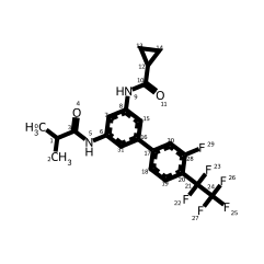 CC(C)C(=O)Nc1cc(NC(=O)C2CC2)cc(-c2ccc(C(F)(F)C(F)(F)F)c(F)c2)c1